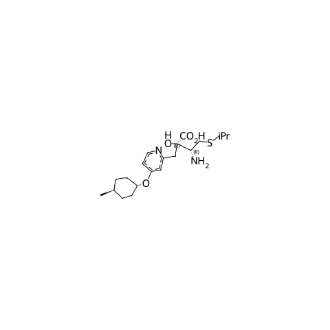 CC(C)SC[C@H](N)[C@](O)(Cc1cc(O[C@H]2CC[C@H](C)CC2)ccn1)C(=O)O